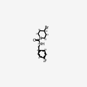 O=C(NCc1ccc(F)cc1)N1CCC(Br)CC1